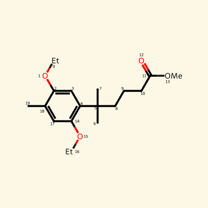 CCOc1cc(C(C)(C)CCCC(=O)OC)c(OCC)cc1C